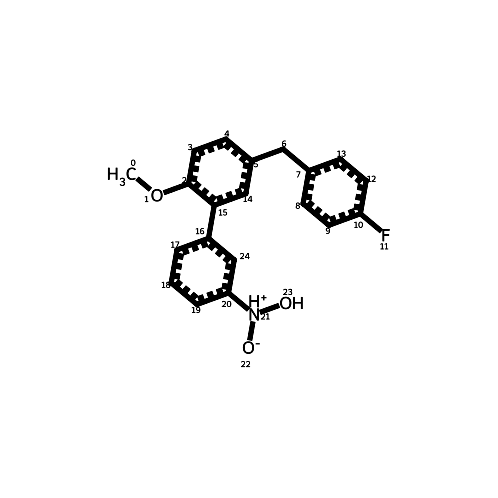 COc1ccc(Cc2ccc(F)cc2)cc1-c1cccc([NH+]([O-])O)c1